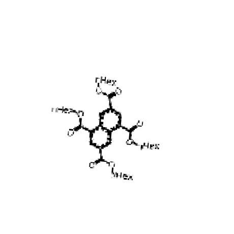 CCCCCCOC(=O)c1cc(C(=O)OCCCCCC)c2cc(C(=O)OCCCCCC)cc(C(=O)OCCCCCC)c2c1